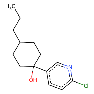 CCCC1CCC(O)(c2ccc(Cl)nc2)CC1